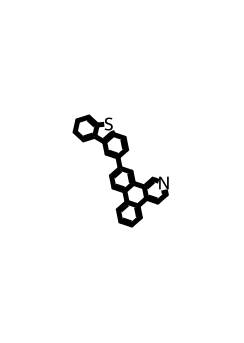 C1=c2sc3ccc(-c4ccc5c6ccccc6c6ccncc6c5c4)cc3c2=CCC1